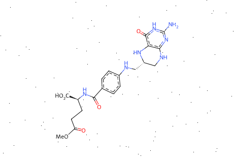 COC(=O)CC[C@H](NC(=O)c1ccc(NC[C@H]2CNc3nc(N)[nH]c(=O)c3N2)cc1)C(=O)O